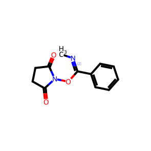 C/N=C(\ON1C(=O)CCC1=O)c1ccccc1